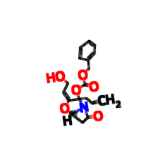 C=CCC1(OC(=O)OCc2ccccc2)C(=CCO)O[C@@H]2CC(=O)N21